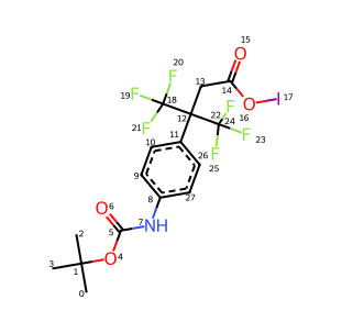 CC(C)(C)OC(=O)Nc1ccc(C(CC(=O)OI)(C(F)(F)F)C(F)(F)F)cc1